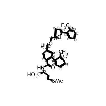 CSCCC(NC(=O)c1ccc(COCc2ccc(-c3ccccc3C(F)(F)F)o2)cc1-c1ccccc1C)C(=O)O.[LiH]